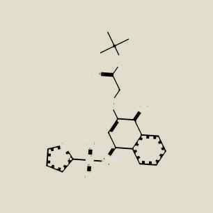 CC(C)(C)OC(=O)COC1=C/C(=N\S(=O)(=O)c2cccs2)c2ccccc2C1=O